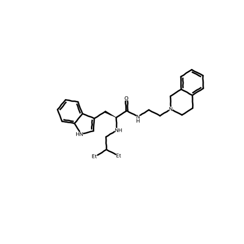 CCC(CC)CN[C@@H](Cc1c[nH]c2ccccc12)C(=O)NCCN1CCc2ccccc2C1